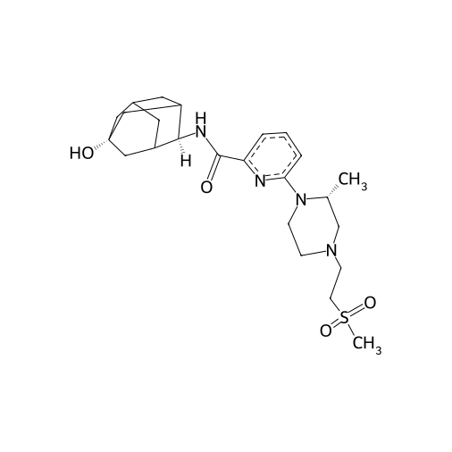 C[C@@H]1CN(CCS(C)(=O)=O)CCN1c1cccc(C(=O)N[C@H]2C3CC4CC2C[C@](O)(C4)C3)n1